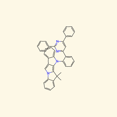 CC1(C)c2ccccc2-n2cc3c4ccccc4n(-c4ccccc4-c4cc(-c5ccccc5)nc(-c5ccccc5)n4)c3c21